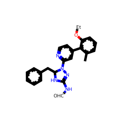 CCOc1cccc(C)c1-c1ccnc(N2N=C(NC=O)NC2Cc2ccccc2)c1